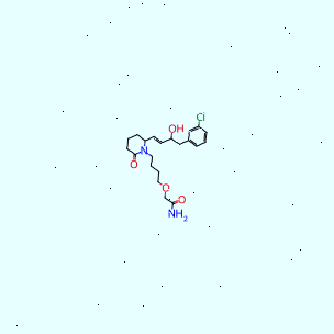 NC(=O)COCCCCN1C(=O)CCCC1C=CC(O)Cc1cccc(Cl)c1